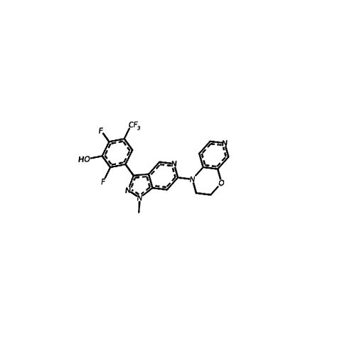 Cn1nc(-c2cc(C(F)(F)F)c(F)c(O)c2F)c2cnc(N3CCOc4cnccc43)cc21